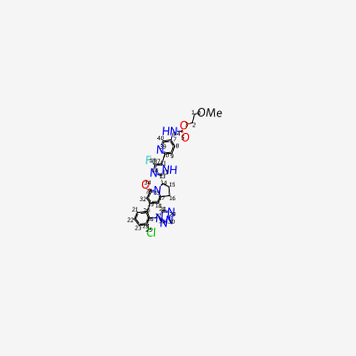 COCCOC(=O)Nc1ccc(-c2[nH]c([C@@H]3CCc4cc(-c5cccc(Cl)c5-n5cnnn5)cc(=O)n43)nc2F)nc1